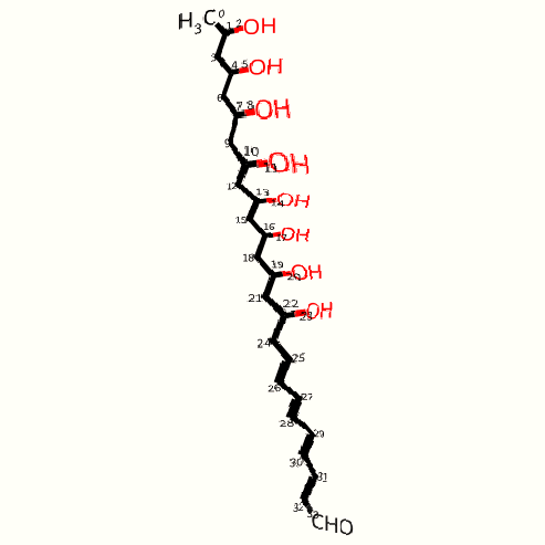 CC(O)CC(O)CC(O)CC(O)CC(O)CC(O)CC(O)CC(O)CC=CC=CC=CC=CC=O